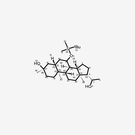 CC(O)[C@H]1CC[C@H]2[C@@H]3C(O[Si](C)(C)C(C)(C)C)C[C@H]4C[C@](C)(O)CC[C@]4(C)[C@H]3CC[C@]12C